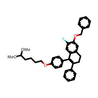 COC(CCCCOc1ccc(C2=C(c3ccccc3)CCc3cc(OCc4ccccc4)c(F)cc32)cc1)OC